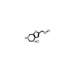 CCOCc1cc2c(s1)CNCC2.Cl